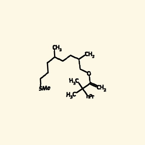 C=C(OCC(C)CCC(C)CCCSC)C(C)(C)CCC